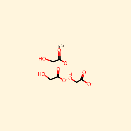 O=C([O-])CO.O=C([O-])CO.O=C([O-])CO.[Ir+3]